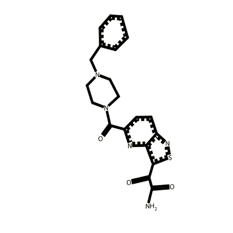 NC(=O)C(=O)c1snc2ccc(C(=O)N3CCN(Cc4ccccc4)CC3)nc12